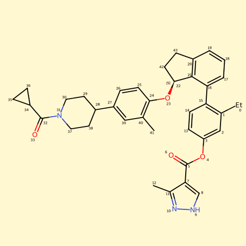 CCc1cc(OC(=O)c2c[nH]nc2C)ccc1-c1cccc2c1[C@@H](Oc1ccc(C3CCN(C(=O)C4CC4)CC3)cc1C)CC2